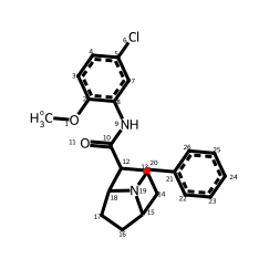 COc1ccc(Cl)cc1NC(=O)C1CCC2CCC1N2Cc1ccccc1